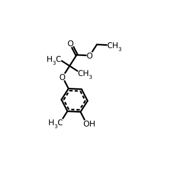 CCOC(=O)C(C)(C)Oc1ccc(O)c(C)c1